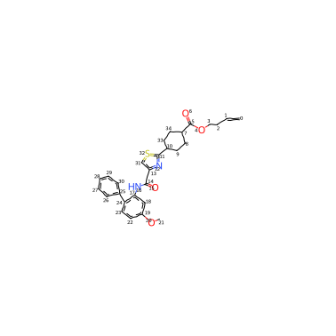 C=CCCOC(=O)C1CCC(c2nc(C(=O)Nc3cc(OC)ccc3-c3ccccc3)cs2)CC1